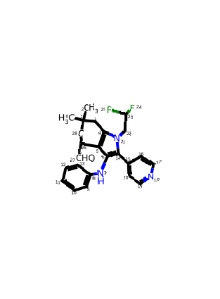 CC1(C)Cc2c(c(Nc3ccccc3)c(-c3ccncc3)n2CC(F)F)C(C=O)C1